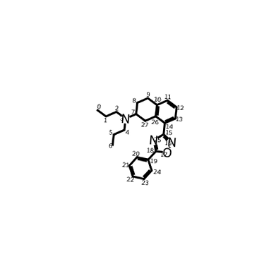 CCCN(CCC)C1CCc2cccc(-c3noc(-c4ccccc4)n3)c2C1